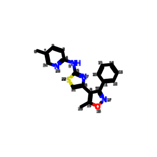 Cc1ccc(Nc2nc(-c3c(-c4ccccc4)noc3C)cs2)nc1